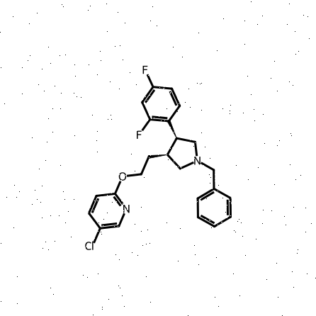 Fc1ccc([C@H]2CN(Cc3ccccc3)C[C@H]2CCOc2ccc(Cl)cn2)c(F)c1